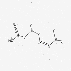 CC(C)/C=C\CC(C)CC(=O)O